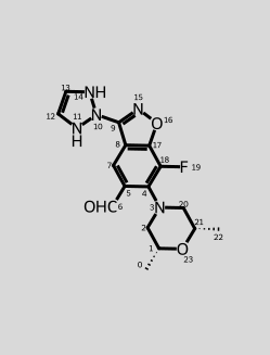 C[C@@H]1CN(c2c(C=O)cc3c(N4NC=CN4)noc3c2F)C[C@H](C)O1